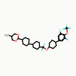 CC1COC(C2CCC(C3CCC(C(F)(F)OC4CCC(c5cc(F)c(OC(F)(F)F)c(F)c5)CC4)CC3)CC2)OC1